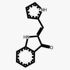 O=C1/C(=C/c2ccc[nH]2)Nc2ccccc21